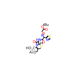 CC(=O)OCC1=C(C(=O)O)N2C(=O)[C@@H](NC(=O)C(=NOCC(=O)OC(C)(C)C)c3cscn3)[C@H]2SC1